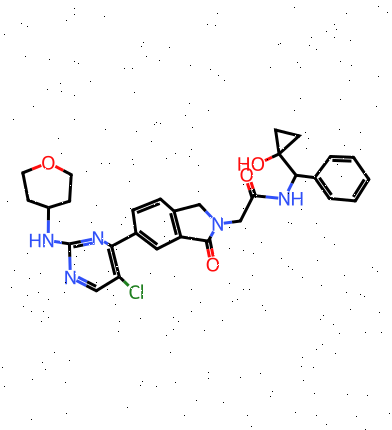 O=C(CN1Cc2ccc(-c3nc(NC4CCOCC4)ncc3Cl)cc2C1=O)NC(c1ccccc1)C1(O)CC1